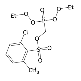 CCOOP(=O)(COS(=O)(=O)c1c(C)cccc1Cl)OOCC